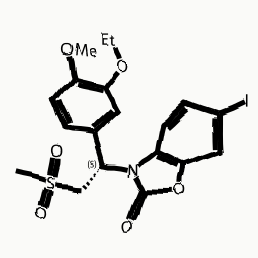 CCOc1cc([C@@H](CS(C)(=O)=O)n2c(=O)oc3cc(I)ccc32)ccc1OC